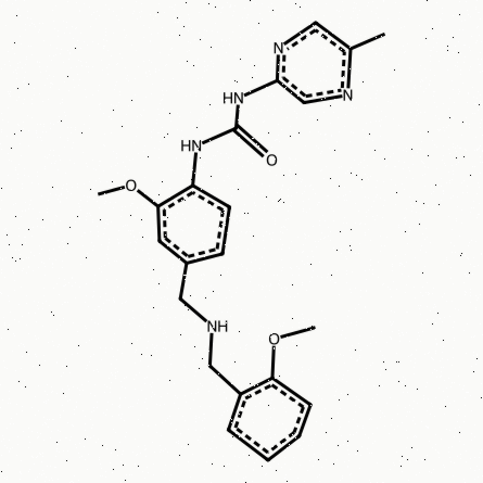 COc1ccccc1CNCc1ccc(NC(=O)Nc2cnc(C)cn2)c(OC)c1